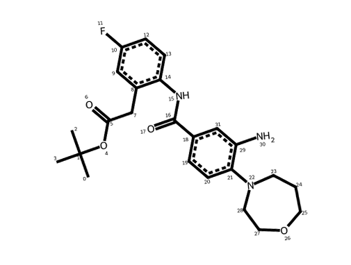 CC(C)(C)OC(=O)Cc1cc(F)ccc1NC(=O)c1ccc(N2CCCOCC2)c(N)c1